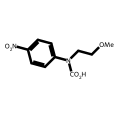 COCCN(C(=O)O)c1ccc([N+](=O)[O-])cc1